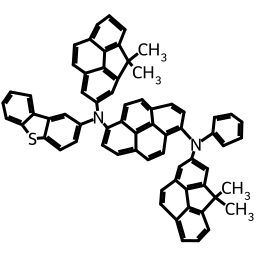 CC1(C)c2cccc3ccc4cc(N(c5ccccc5)c5ccc6ccc7c(N(c8cc9c%10c(ccc%11cccc(c%11%10)C9(C)C)c8)c8ccc9sc%10ccccc%10c9c8)ccc8ccc5c6c87)cc1c4c23